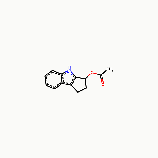 CC(=O)OC1CCc2c1[nH]c1ccccc21